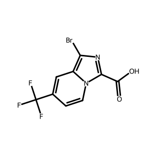 O=C(O)c1nc(Br)c2cc(C(F)(F)F)ccn12